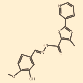 COc1ccc(/C=N/NC(=O)c2sc(-c3cccnc3)nc2C)cc1O